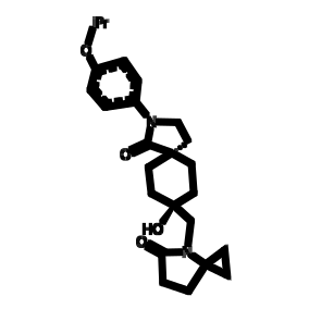 CC(C)Oc1ccc(N2CC[C@]3(CC[C@@](O)(CN4C(=O)CCC45CC5)CC3)C2=O)cc1